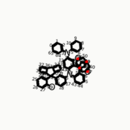 c1ccc(N(c2ccccc2)c2ccc(N(c3ccc4c(c3)C3(c5ccccc5O4)c4ccccc4-c4ccccc43)c3cccc4oc5ccccc5c34)c3c2oc2ccccc23)cc1